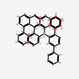 c1ccc(-c2ccc(-c3ccccc3)c(N(c3ccccc3-c3cccc4cccc(-c5ccccc5)c34)c3cccc4ccccc34)c2)cc1